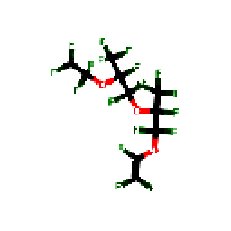 FC(F)=C(F)OC(F)(F)C(F)(OC(F)(F)C(F)(OC(F)(F)C(F)F)C(F)(F)F)C(F)(F)F